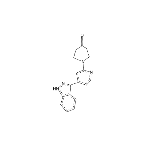 O=C1CCN(c2cc(-c3n[nH]c4ccccc34)ccn2)CC1